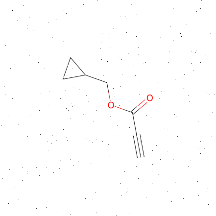 C#CC(=O)OCC1CC1